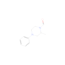 CC1CN(c2ccccc2)CCN1C=O